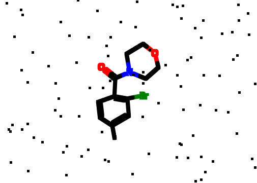 Cc1ccc(C(=O)N2CCOCC2)c(Br)c1